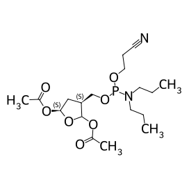 CCCN(CCC)P(OCCC#N)OC[C@@H]1C[C@H](OC(C)=O)OC1OC(C)=O